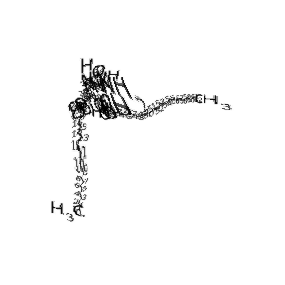 CCCCCCCCCCCCCCCCCCOP(=O)(O)OC[C@H]1C[C@@H](N2CNc3c2nc(N)[nH]c3=O)[C@@H]1COP(=O)(O)OCCCCCCCCCCCCCCCCCC